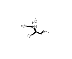 Cl.NNC(C[N+](=O)[O-])C(F)(F)F